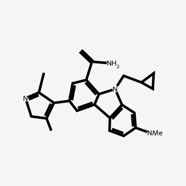 C=C(N)c1cc(C2=C(C)CN=C2C)cc2c3ccc(NC)cc3n(CC3CC3)c12